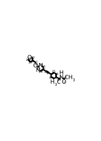 CC(=O)N[C@@H](C)c1ccc(C#Cc2cnc(OCc3ccoc3)nc2)cc1